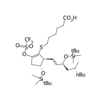 CCCC[C@@H](C)C[C@@H](C=C[C@@H]1C(SCCCCCC(=O)O)=C(OS(=O)(=O)C(F)(F)F)C[C@H]1O[Si](C)(C)C(C)(C)C)O[Si](C)(C)C(C)(C)C